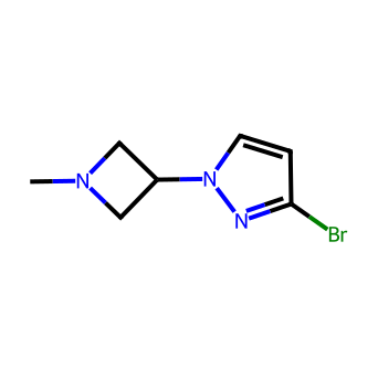 CN1CC(n2ccc(Br)n2)C1